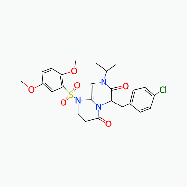 COc1ccc(OC)c(S(=O)(=O)N2CCC(=O)N3C2=CN(C(C)C)C(=O)C3Cc2ccc(Cl)cc2)c1